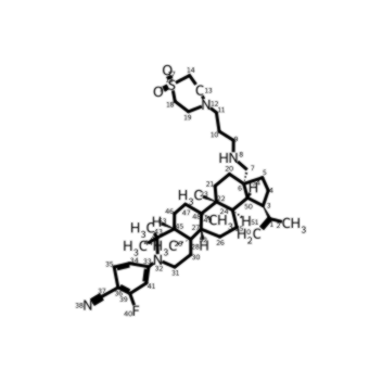 C=C(C)[C@@H]1CC[C@]2(CNCCCN3CCS(=O)(=O)CC3)CC[C@]3(C)[C@H](CC[C@@H]4[C@@]5(C)CCN(c6ccc(C#N)c(F)c6)C(C)(C)[C@@H]5CC[C@]43C)[C@@H]12